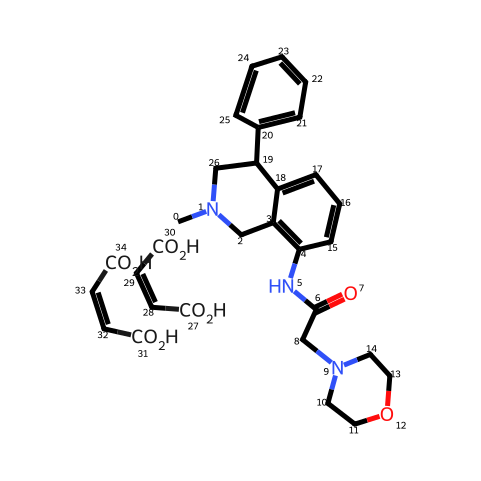 CN1Cc2c(NC(=O)CN3CCOCC3)cccc2C(c2ccccc2)C1.O=C(O)/C=C\C(=O)O.O=C(O)/C=C\C(=O)O